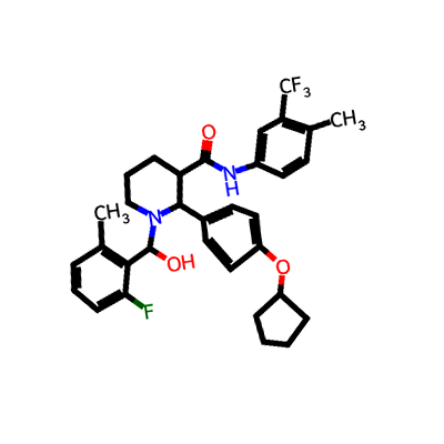 Cc1ccc(NC(=O)C2CCCN(C(O)c3c(C)cccc3F)C2c2ccc(OC3CCCC3)cc2)cc1C(F)(F)F